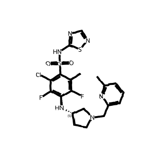 Cc1cccc(CN2CC[C@H](Nc3c(F)c(C)c(S(=O)(=O)Nc4ncns4)c(Cl)c3F)C2)n1